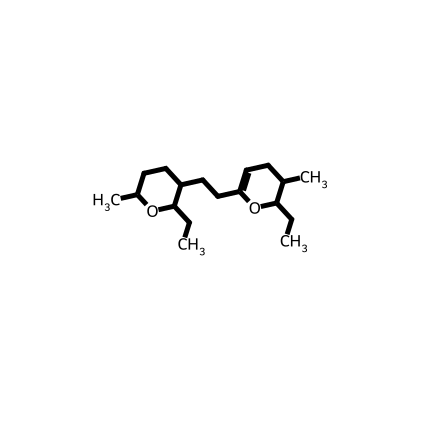 CCC1OC(CCC2CCC(C)OC2CC)=CCC1C